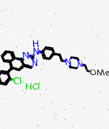 COCCN1CCN(CCc2ccc(Nc3ncc4c(n3)-c3ccccc3C(c3ccccc3Cl)C4)cc2)CC1.Cl